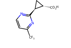 O=C(O)[C@H]1C[C@@H]1c1nccc(C(F)(F)F)n1